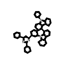 c1ccc(-c2cc(-c3cccc(-n4c5ccccc5c5cccc(-c6cccc7c6c6ccccc6n7-c6ccccc6)c54)c3)nc(-c3ccccc3)n2)cc1